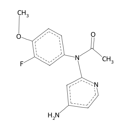 COc1ccc(N(C(C)=O)c2cc(N)ccn2)cc1F